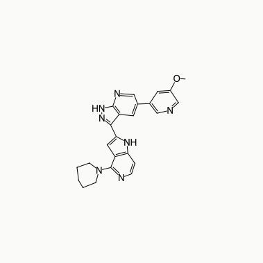 COc1cncc(-c2cnc3[nH]nc(-c4cc5c(N6CCCCC6)nccc5[nH]4)c3c2)c1